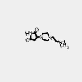 CNCCN1CCN(C2CC(=O)NC2=O)CC1